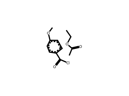 CCOC(C)=O.COc1ccc(C(=O)Cl)cc1